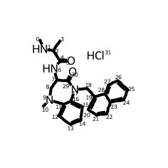 CNC(C)C(=O)NC1CN(C)c2ccccc2N(Cc2cccc3ccccc23)C1=O.Cl